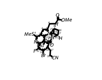 COC(=O)CCc1cc2c(SC)nc3c(F)c(Br)c(CCC#N)cc3c2n1[C@H]1[C@@H]2C[C@H]1N(C(=O)OC(C)(C)C)C2